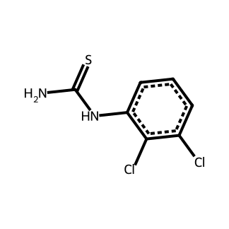 NC(=S)Nc1cccc(Cl)c1Cl